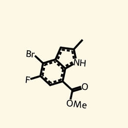 COC(=O)c1cc(F)c(Br)c2cc(C)[nH]c12